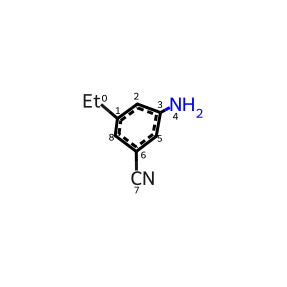 CCc1cc(N)cc(C#N)c1